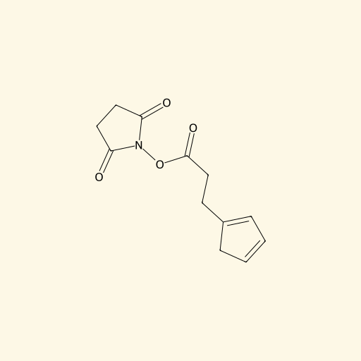 O=C(CCC1=CC=CC1)ON1C(=O)CCC1=O